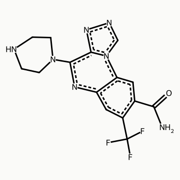 NC(=O)c1cc2c(cc1C(F)(F)F)nc(N1CCNCC1)c1nncn12